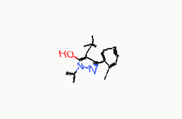 Cc1ccccc1-c1nn(C(C)C)c(O)c1C(C)(C)C